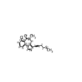 CSCCC#Cc1ncn2c1CN(C)C(=O)c1c(Cl)cccc1-2